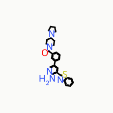 Nc1ncc(-c2cccc(C(=O)N3CCC(N4CCCC4)CC3)c2)cc1-c1nc2ccccc2s1